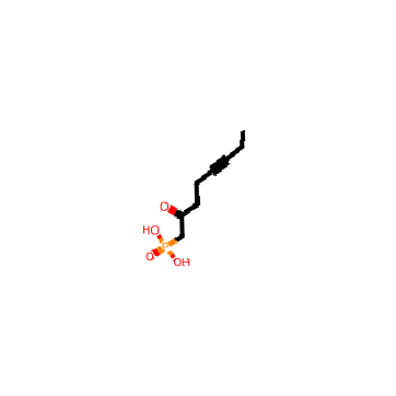 CCC#CCCC(=O)CP(=O)(O)O